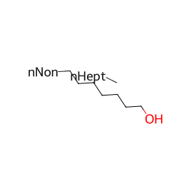 CCCCCCCC.CCCCCCCCCCCCCCCCO